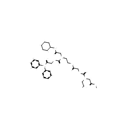 CCCCNC(=O)CN(CCO)C(=S)SCC(=O)OCCN(CC(=O)NC1CCCCC1)C(=S)SCC(=O)N(c1ccccc1)c1ccccc1